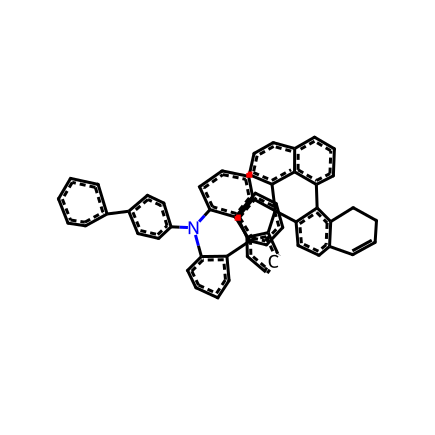 C1=Cc2ccc3c(c2CC1)-c1cccc2cccc(c12)C31c2ccccc2-c2c(N(c3ccc(-c4ccccc4)cc3)c3ccccc3-c3ccccc3)cccc21